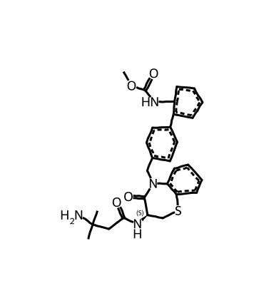 COC(=O)Nc1ccccc1-c1ccc(CN2C(=O)[C@H](NC(=O)CC(C)(C)N)CSc3ccccc32)cc1